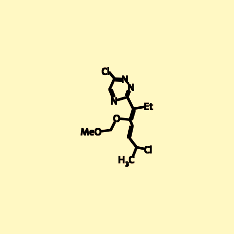 CC/C(=C(\C=CC(C)Cl)OCOC)c1ncc(Cl)nn1